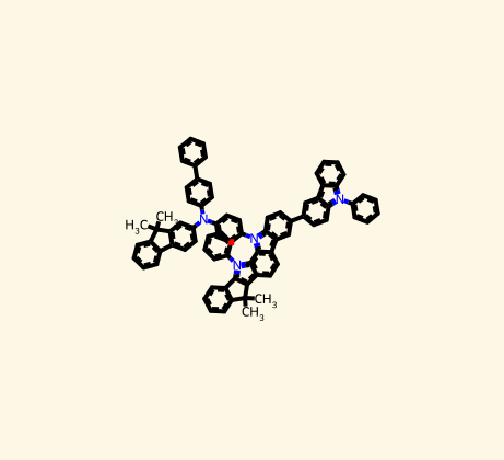 CC1(C)c2ccccc2-c2ccc(N(c3ccc(-c4ccccc4)cc3)c3ccc(-n4c5ccc(-c6ccc7c(c6)c6ccccc6n7-c6ccccc6)cc5c5ccc6c7c(n(-c8ccccc8)c6c54)-c4ccccc4C7(C)C)cc3)cc21